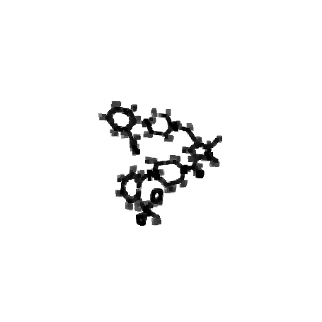 Cc1c(CN2CCN(c3ccccc3C#N)CC2)cc(C(=O)N2CCN(c3ccccc3S(C)(=O)=O)CC2)n1C